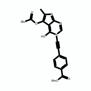 COC(=O)c1ccc(C#Cn2cnc3nc(C)c(OC(=O)C(C)(C)C)c-3c2O)cc1